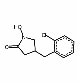 O=C1CC(Cc2ccccc2Cl)CN1O